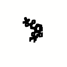 CC(C)(C)OC(=O)Cc1ccnc(Cl)c1OC(F)(F)F